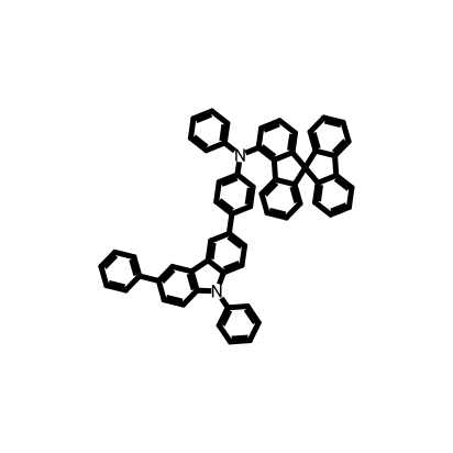 c1ccc(-c2ccc3c(c2)c2cc(-c4ccc(N(c5ccccc5)c5cccc6c5-c5ccccc5C65c6ccccc6-c6ccccc65)cc4)ccc2n3-c2ccccc2)cc1